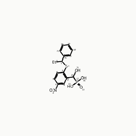 CCC(Sc1ccc([N+](=O)[O-])cc1C(O)P(=O)(O)O)c1ccccc1